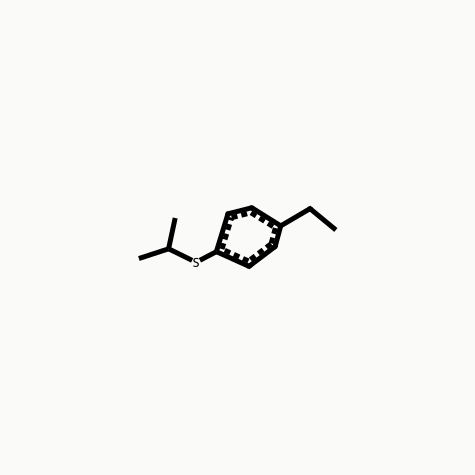 CCc1ccc(SC(C)C)cc1